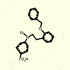 CCN(CCc1ccccc1OCc1ccccc1)c1ccc(C(=O)O)cc1